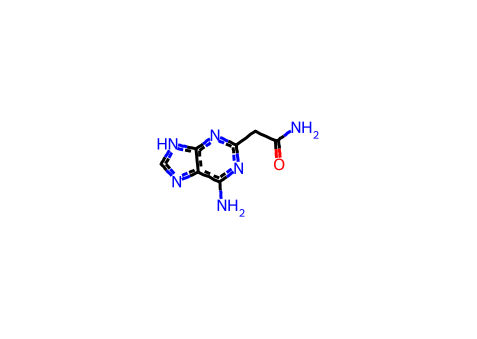 NC(=O)Cc1nc(N)c2nc[nH]c2n1